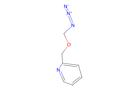 [N-]=[N+]=NCOCc1ccccn1